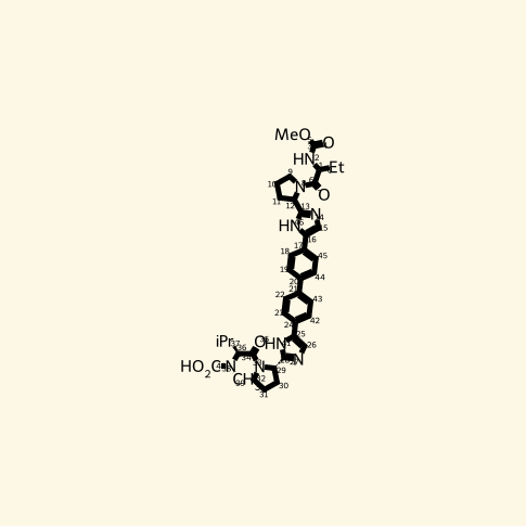 CCC(NC(=O)OC)C(=O)N1CCCC1c1ncc(-c2ccc(-c3ccc(-c4cnc([C@@H]5CCCN5C(=O)[C@H](C(C)C)N(C)C(=O)O)[nH]4)cc3)cc2)[nH]1